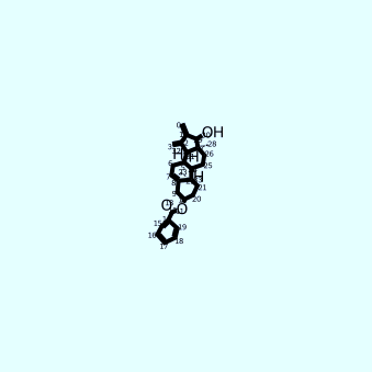 C=C1C(=C)[C@H]2[C@@H]3CC=C4CC(OC(=O)c5ccccc5)CC[C@]4(C)[C@@H]3CC[C@]2(C)C1O